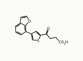 O=C(O)CCC(=O)c1cc(-c2cccc3ccoc23)cs1